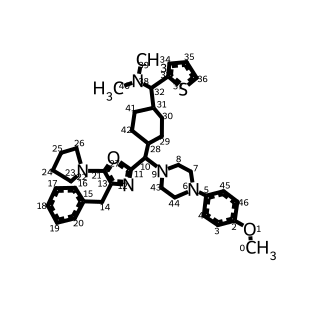 COc1ccc(N2CCN(C(c3nc(Cc4ccccc4)c(N4CCCC4)o3)C3CCC(C(c4cccs4)N(C)C)CC3)CC2)cc1